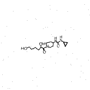 O=C(NC1CC1)NC1CCN(C(=O)C(O)CCCCO)CC1